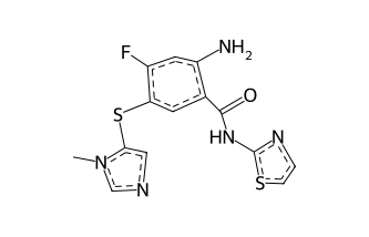 Cn1cncc1Sc1cc(C(=O)Nc2nccs2)c(N)cc1F